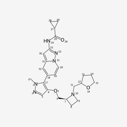 Cn1ncc(OC[C@@H]2CCN2CC2CCCO2)c1-c1ccn2nc(NC(=O)C3CC3)cc2c1